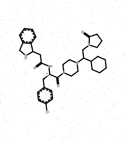 O=C(CC1NCc2ccccc21)N[C@H](Cc1ccc(Cl)cc1)C(=O)N1CCN(C(CN2CCCC2=O)C2CCCCC2)CC1